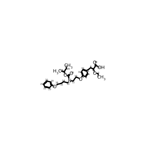 CCOC(Cc1ccc(OCCN(CCCCOc2ccccc2)C(=O)OC(C)CC)cc1)C(=O)O